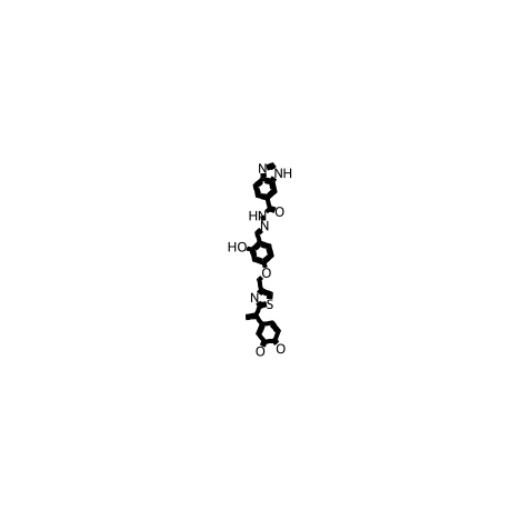 C=C(C1=CC(=O)C(=O)C=C1)c1nc(COc2ccc(C=NNC(=O)c3ccc4nc[nH]c4c3)c(O)c2)cs1